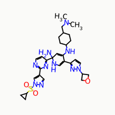 CN(C)CC1CCC(NC2=CC(N)(c3ccnc(-c4cnn(S(=O)(=O)C5CC5)c4)n3)NC=C2c2ccn(C3COC3)n2)CC1